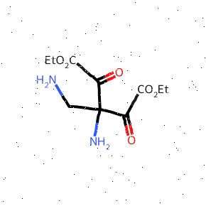 CCOC(=O)C(=O)C(N)(CN)C(=O)C(=O)OCC